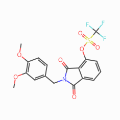 COc1ccc(CN2C(=O)c3cccc(OS(=O)(=O)C(F)(F)F)c3C2=O)cc1OC